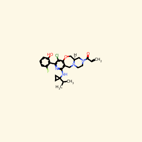 C=CC(=O)N1CCN2Cc3c(NC4(C(C)C)CC4)nc(-c4c(O)cccc4F)c(Cl)c3OC[C@H]2C1